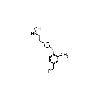 Cc1cc(CF)ccc1OC1CN(CCNO)C1